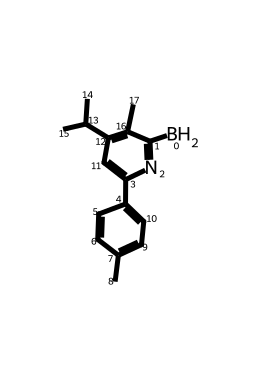 Bc1nc(-c2ccc(C)cc2)cc(C(C)C)c1C